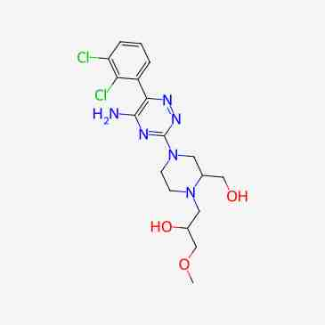 COCC(O)CN1CCN(c2nnc(-c3cccc(Cl)c3Cl)c(N)n2)CC1CO